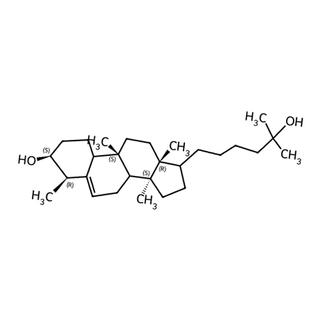 C[C@@H]1C2=CCC3[C@@](C)(CC[C@]4(C)C(CCCCC(C)(C)O)CC[C@@]34C)C2CC[C@@H]1O